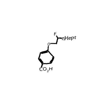 CCCCCCCC(F)COc1ccc(C(=O)O)cc1